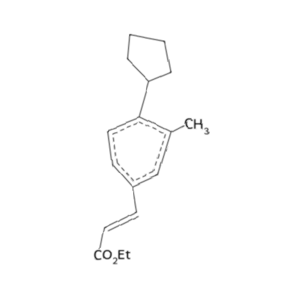 CCOC(=O)C=Cc1ccc(C2CCCC2)c(C)c1